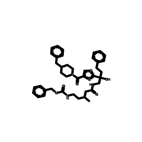 CC(CCNC(=O)OCc1ccccc1)CC(=O)NCC(O)(CCc1ccccc1)c1nc(C(=O)N2CCC(Cc3ccccc3)CC2)co1